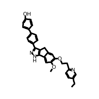 CCc1ccc(CCOc2cc3c(cc2OC)-c2[nH]nc(-c4ccc(-c5ccc(O)cc5)cc4)c2C3)nc1